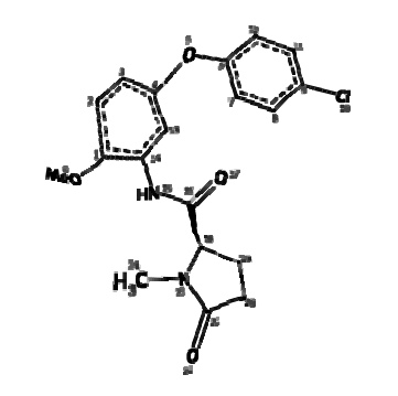 COc1ccc(Oc2ccc(Cl)cc2)cc1NC(=O)[C@H]1CCC(=O)N1C